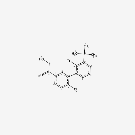 CC(C)(C)c1cccc(-c2cc(C(=O)CO)ccc2Cl)c1F